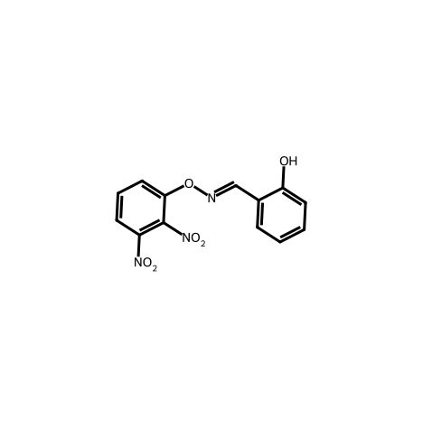 O=[N+]([O-])c1cccc(ON=Cc2ccccc2O)c1[N+](=O)[O-]